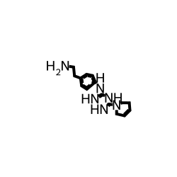 N=C(NC(=N)N1CC=CCC1)Nc1ccc(CCN)cc1